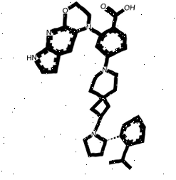 CC(C)c1ccccc1[C@@H]1CCCN1C1CC2(CCN(c3ccc(C(=O)O)c(N4CCOc5nc6[nH]ccc6cc54)c3)CC2)C1